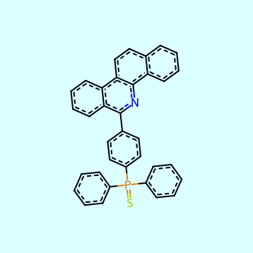 S=P(c1ccccc1)(c1ccccc1)c1ccc(-c2nc3c4ccccc4ccc3c3ccccc23)cc1